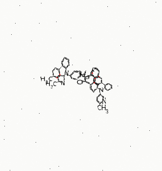 Cc1ccc(-c2ccccc2N(c2ccc(C)nc2)c2ccc3c(c2)oc2c4ccc(N(c5ccc(C)nc5)c5ccccc5-c5ccc(C)cc5)cc4c4ccccc4c32)cc1